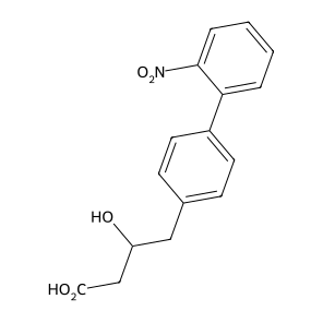 O=C(O)CC(O)Cc1ccc(-c2ccccc2[N+](=O)[O-])cc1